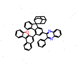 c1ccc(-c2nc3ccccc3nc2-c2cc(-c3cc4ccccc4c4c3oc3ccccc34)c3c(c2)C2(c4ccccc4-3)C3CC4CC(C3)CC2C4)cc1